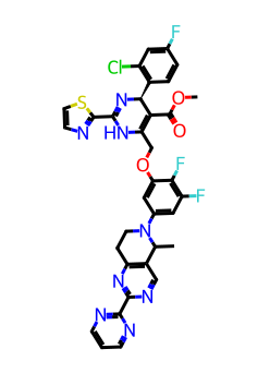 COC(=O)C1=C(COc2cc(N3CCc4nc(-c5ncccn5)ncc4C3C)cc(F)c2F)NC(c2nccs2)=N[C@H]1c1ccc(F)cc1Cl